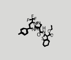 CCOC(=O)C1C2=C(CCCC2)SC1NC(=O)c1cnn2c1NC(c1ccc(C)cc1)CC2C(F)(F)F